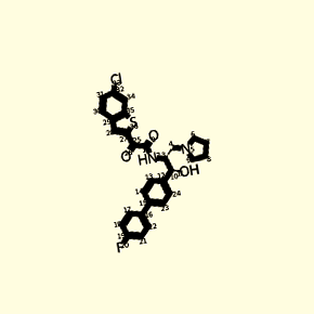 O=C(N[C@H](CN1CCCC1)[C@H](O)c1ccc(-c2ccc(F)cc2)cc1)C(=O)c1cc2ccc(Cl)cc2s1